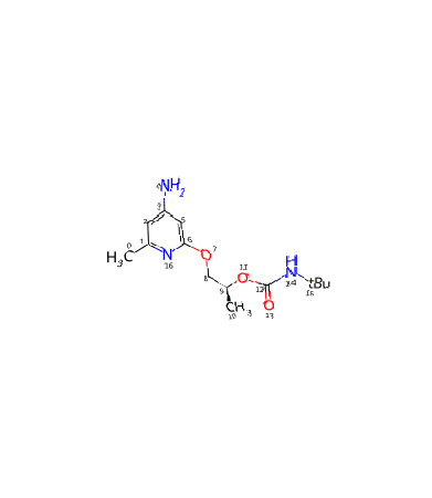 Cc1cc(N)cc(OC[C@H](C)OC(=O)NC(C)(C)C)n1